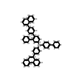 c1ccc(-c2ccc(N(c3ccc(-c4cc5ccccc5c5ccccc45)cc3)c3ccc(-c4ccc(-c5cccc6ccccc56)cc4)c(-c4ccccc4)c3)cc2)cc1